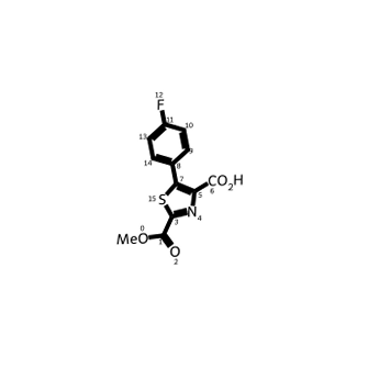 COC(=O)c1nc(C(=O)O)c(-c2ccc(F)cc2)s1